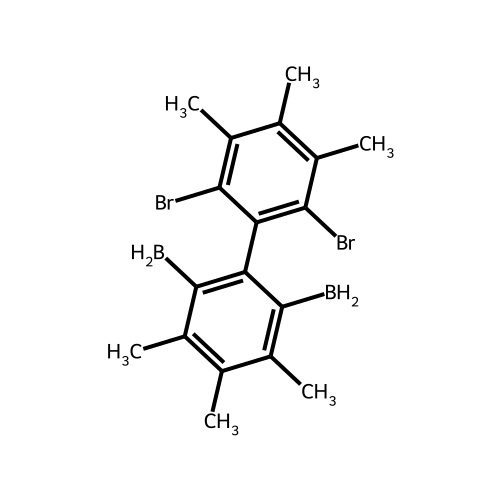 Bc1c(C)c(C)c(C)c(B)c1-c1c(Br)c(C)c(C)c(C)c1Br